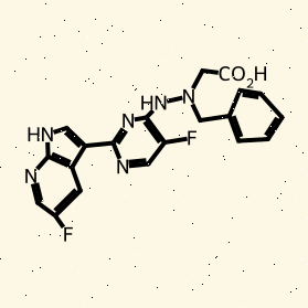 O=C(O)CN(Cc1ccccc1)Nc1nc(-c2c[nH]c3ncc(F)cc23)ncc1F